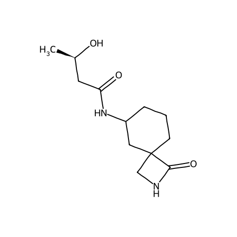 C[C@@H](O)CC(=O)NC1CCCC2(CNC2=O)C1